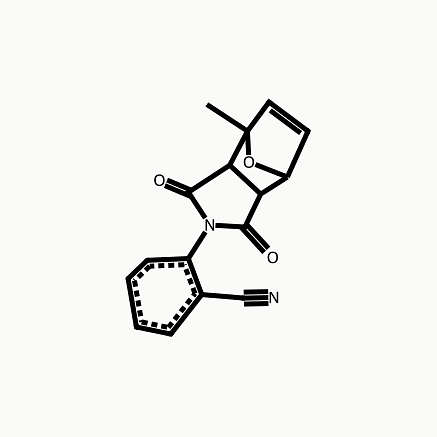 CC12C=CC(O1)C1C(=O)N(c3ccccc3C#N)C(=O)C12